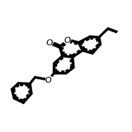 CCc1ccc2c(c1)oc(=O)c1cc(OCc3ccccc3)ccc12